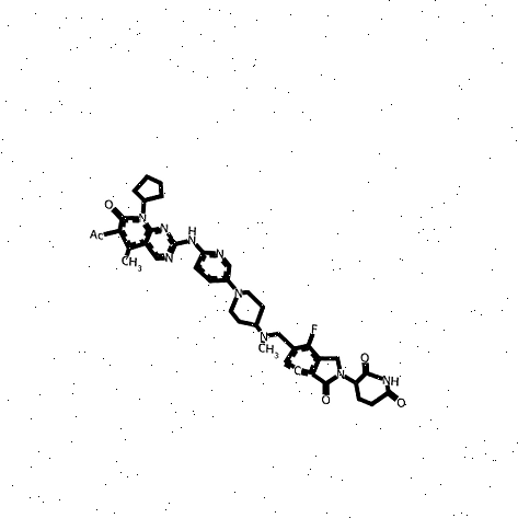 CC(=O)c1c(C)c2cnc(Nc3ccc(N4CCC(N(C)Cc5ccc6c(c5F)CN(C5CCC(=O)NC5=O)C6=O)CC4)cn3)nc2n(C2CCCC2)c1=O